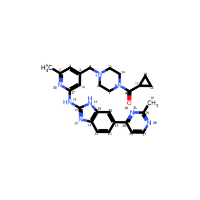 Cc1cc(CN2CCN(C(=O)C3CC3)CC2)cc(Nc2nc3ccc(-c4ccnc(C)n4)cc3[nH]2)n1